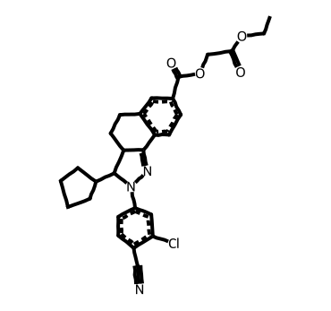 CCOC(=O)COC(=O)c1ccc2c(c1)CCC1C2=NN(c2ccc(C#N)c(Cl)c2)C1C1CCCC1